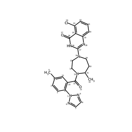 Cc1ccc(-n2nccn2)c(C(=O)N2CCN(c3nc4cccc(Cl)c4c(=O)[nH]3)CCC2C)c1